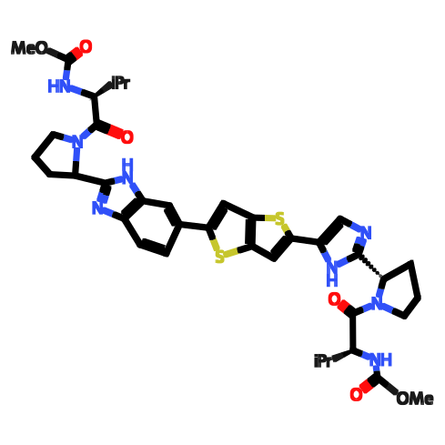 COC(=O)N[C@H](C(=O)N1CCCC1c1nc2ccc(-c3cc4sc(-c5cnc([C@@H]6CCCN6C(=O)[C@@H](NC(=O)OC)C(C)C)[nH]5)cc4s3)cc2[nH]1)C(C)C